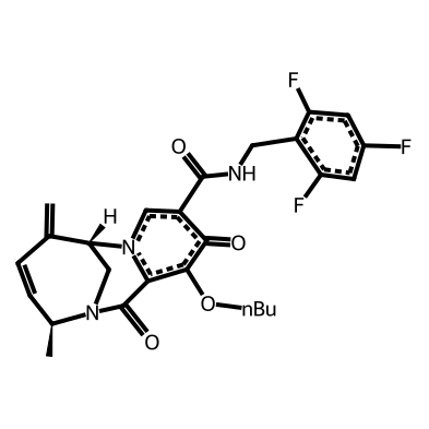 C=C1C=C[C@H](C)N2C[C@H]1n1cc(C(=O)NCc3c(F)cc(F)cc3F)c(=O)c(OCCCC)c1C2=O